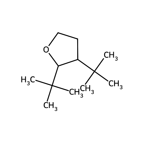 CC(C)(C)C1CCOC1C(C)(C)C